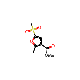 COC(=O)c1cc(S(C)(=O)=O)oc1C